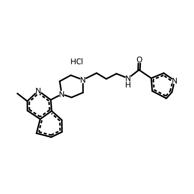 Cc1cc2ccccc2c(N2CCN(CCCNC(=O)c3cccnc3)CC2)n1.Cl